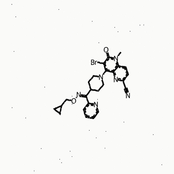 Cn1c(=O)c(Br)c(N2CCC(/C(=N/OCC3CC3)c3ccccn3)CC2)c2nc(C#N)ccc21